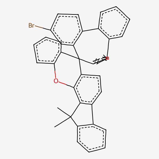 CC1(C)c2ccccc2-c2ccc3c(c21)Oc1ccccc1C31c2ccccc2-c2ccccc2-c2ccc(Br)cc21